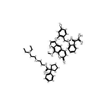 CCN(CC)CCOCCOC(=O)C1(c2ccccc2)CCCC1.COc1c2occc2cc2ccc(=O)oc12.O=C(O)c1nn(Cc2ccc(Cl)cc2Cl)c2ccccc12